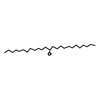 CCCCCCCCCCCCC([O])CCCCCCCCCCCC